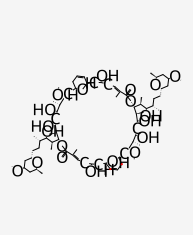 CO[C@H]1C[C@H](CC[C@H](C)[C@H](O)[C@H](C)[C@H]2OC(=O)/C(C)=C/C[C@H](O)C[C@@H]3C=CC[C@@H](C[C@H](OC)[C@@H](C)[C@@H](O)C[C@@H](O)[C@H](C)[C@@H]([C@@H](C)[C@@H](O)[C@@H](C)CC[C@H]4C[C@H](OC)C[C@H](C)O4)OC(=O)/C(C)=C/C[C@H](O)C[C@@H]4C=CC[C@@H](C[C@H](OC)[C@@H](C)[C@@H](O)C[C@@H](O)[C@@H]2C)O4)O3)O[C@@H](C)C1